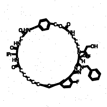 CC(C)C1NC(=O)CCCCCC2CC(C2)c2ccc(F)c(c2)-c2nc(n(Cc3ccccc3)n2)[C@@H](C(C)(C)C)N(C(=O)CO)CCCNC(=O)OCc2ccc(cc2)NC(=O)CNC1=O